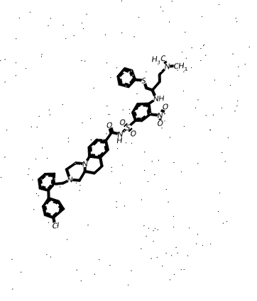 CN(C)CCC(CSc1ccccc1)Nc1ccc(S(=O)(=O)NC(=O)c2ccc3c(c2)CCC2CN(Cc4ccccc4-c4ccc(Cl)cc4)CCN32)cc1[N+](=O)[O-]